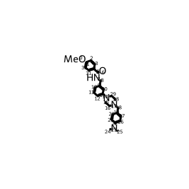 COc1ccc(C(=O)NCc2cccc(N3CCN(Cc4ccc(N(C)C)cc4)CC3)c2)cc1